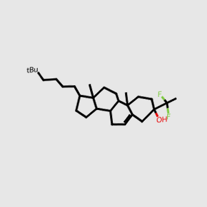 CC(C)(C)CCCCC1CCC2C3CC=C4CC(O)(C(C)(F)F)CCC4(C)C3CCC12C